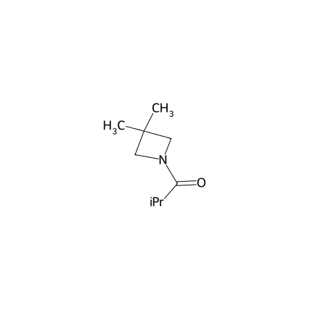 CC(C)C(=O)N1CC(C)(C)C1